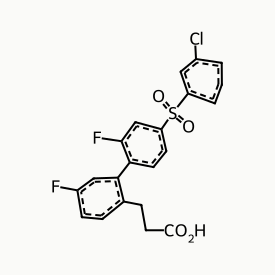 O=C(O)CCc1ccc(F)cc1-c1ccc(S(=O)(=O)c2cccc(Cl)c2)cc1F